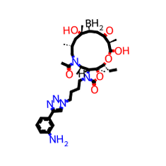 B[C@@H]1CC(=O)[C@@H](C)C(O)O[C@H](CC)[C@@]2(C)OC(=O)N(CCCCn3cc(-c4cccc(N)c4)nn3)[C@@H]2[C@@H](C)N(C(C)=O)C[C@H](C)C[C@]1(C)O